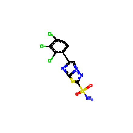 NS(=O)(=O)c1nn2cc(-c3ccc(Cl)c(Cl)c3Cl)nc2s1